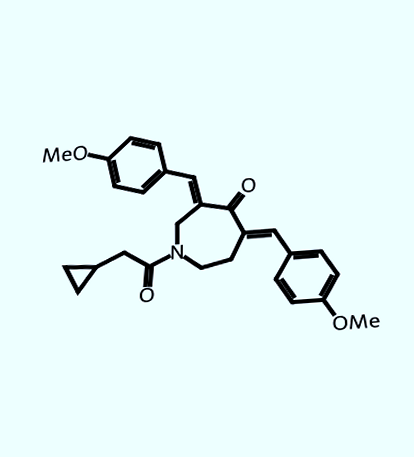 COc1ccc(/C=C2\CCN(C(=O)CC3CC3)C/C(=C\c3ccc(OC)cc3)C2=O)cc1